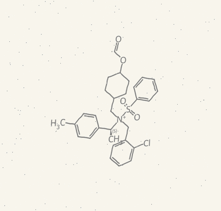 Cc1ccc([C@H](C)[N+](Cc2ccccc2Cl)(CC2CCC(O[C]=O)CC2)S(=O)(=O)c2ccccc2)cc1